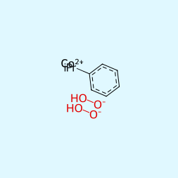 CC(C)c1ccccc1.[Co+2].[O-]O.[O-]O